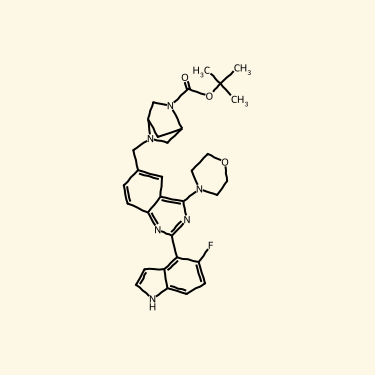 CC(C)(C)OC(=O)N1CC2CC1CN2Cc1ccc2nc(-c3c(F)ccc4[nH]ccc34)nc(N3CCOCC3)c2c1